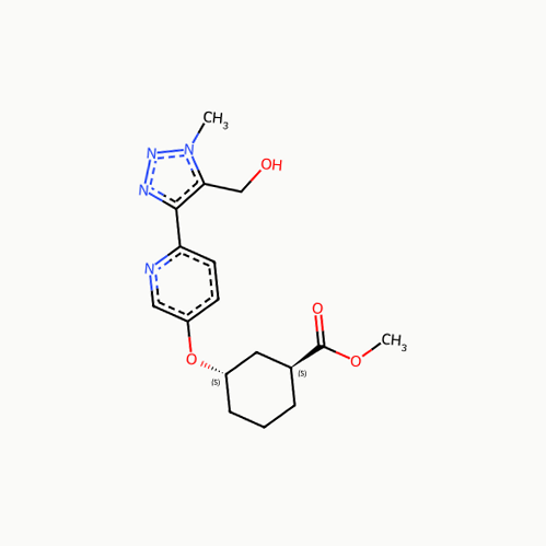 COC(=O)[C@H]1CCC[C@H](Oc2ccc(-c3nnn(C)c3CO)nc2)C1